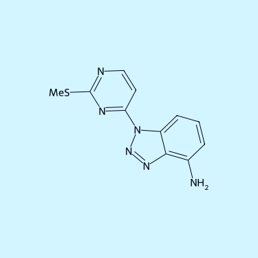 CSc1nccc(-n2nnc3c(N)cccc32)n1